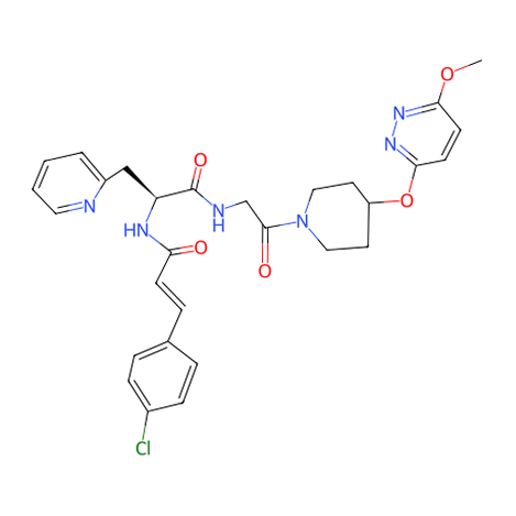 COc1ccc(OC2CCN(C(=O)CNC(=O)[C@H](Cc3ccccn3)NC(=O)/C=C/c3ccc(Cl)cc3)CC2)nn1